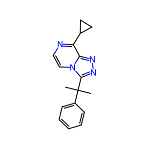 CC(C)(c1ccccc1)c1nnc2c(C3CC3)nccn12